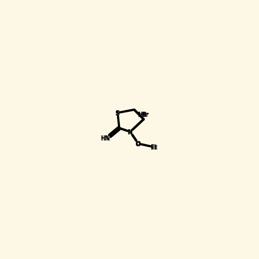 Br.CCON1CCSC1=N